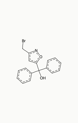 OC(c1ccccc1)(c1ccccc1)c1cc(CBr)no1